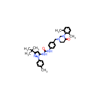 Cc1ccc(-n2nc(C(C)(C)C)cc2NC(=O)Nc2ccc(CN3CCC(=O)N(c4c(C)cccc4C)C3)cc2)cc1